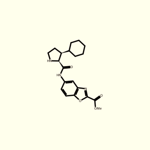 COC(=O)c1nc2cc(NC(=O)[C@H]3NCC[C@H]3C3CCCCC3)ccc2o1